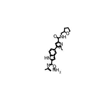 C=C(C)/N=C(\ON)c1cc2cc(-c3cc(C(=O)NCC4CCCO4)nn3C)ccc2[nH]1